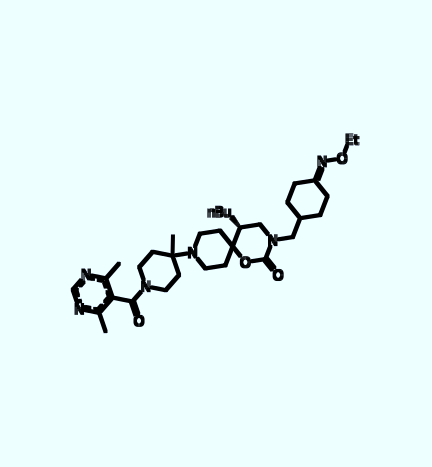 CCCC[C@H]1CN(CC2CCC(=NOCC)CC2)C(=O)OC12CCN(C1(C)CCN(C(=O)c3c(C)ncnc3C)CC1)CC2